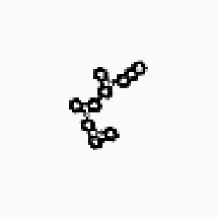 c1ccc2cc3cc(-n4c5ccccc5c5cc(-c6ccc7c(c6)c6ccccc6n7-c6ccc7c8cccc9c%10ccccc%10n(c7c6)c98)ccc54)ccc3cc2c1